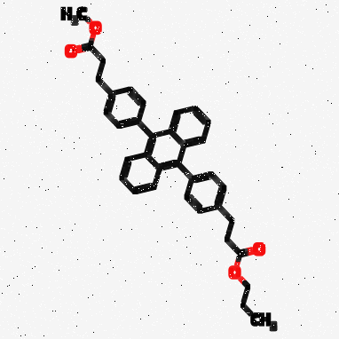 CCCOC(=O)CCc1ccc(-c2c3ccccc3c(-c3ccc(CCC(=O)OC)cc3)c3ccccc23)cc1